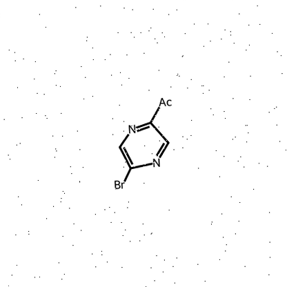 CC(=O)c1cnc(Br)cn1